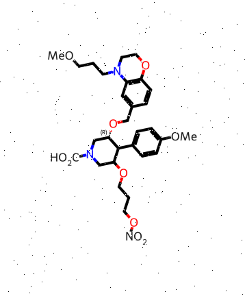 COCCCN1CCOc2ccc(CO[C@H]3CN(C(=O)O)CC(OCCCO[N+](=O)[O-])C3c3ccc(OC)cc3)cc21